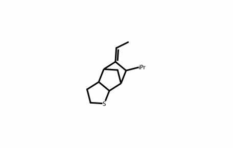 CC=C1C2CC(C3SCCC23)C1C(C)C